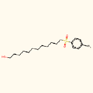 O=S(=O)(CCCCCCCCCCCCO)c1ccc(C(F)(F)F)cc1